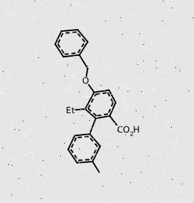 CCc1c(OCc2ccccc2)ccc(C(=O)O)c1-c1cccc(C)c1